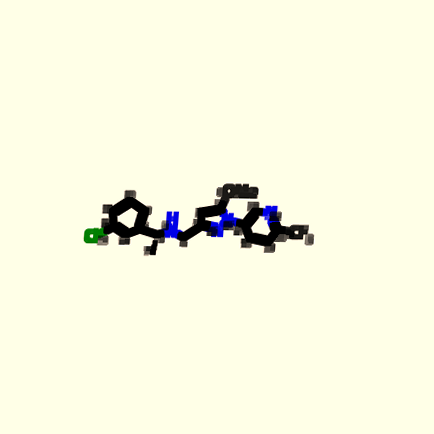 COc1cc(CN[C@H](C)c2cccc(Cl)c2)nn1-c1ccc(C(F)(F)F)nc1